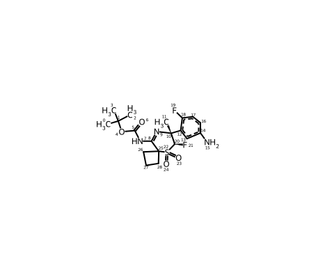 CC(C)(C)OC(=O)NC1=N[C@](C)(c2cc(N)ccc2F)[C@@H](F)S(=O)(=O)C12CCC2